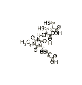 CCn1c(=O)n(CC)c(=O)n(CC)c1=O.O=C(O)CCS.O=C(O)CCS.O=C(O)CCS